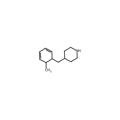 CC1C=CC=CC1CC1CCNCC1